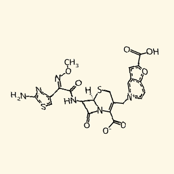 CO/N=C(\C(=O)NC1C(=O)N2C(C(=O)[O-])=C(C[n+]3ccc4oc(C(=O)O)cc4c3)CS[C@H]12)c1csc(N)n1